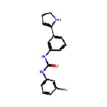 O=C(Nc1cccc(Br)c1)Nc1cccc(C2=CCCN2)c1